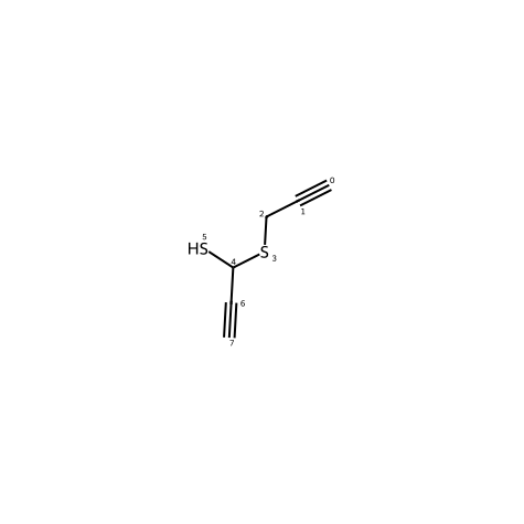 C#CCSC(S)C#C